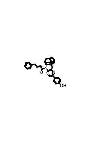 O=C(CCCc1ccccc1)Nc1ncc(-c2ccc(O)cc2)nc1CC12CC3CC(CC(C3)C1)C2